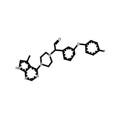 Cc1c[nH]c2ncnc(N3CCN(C(C=O)c4cccc(Oc5ccc(F)cc5)c4)CC3)c12